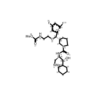 CNC[C@@H](NC(=O)N1CCC[C@@H](C(OCCNC(=O)OC)c2cc(F)cc(F)c2)C1)[C@H](O)C1CCCCC1